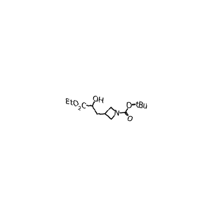 CCOC(=O)C(O)CC1CN(C(=O)OC(C)(C)C)C1